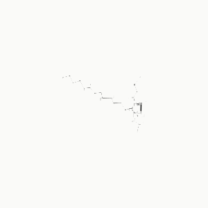 CCCCCCCCCCCCCC1N(CCC)C=CN1CCCC